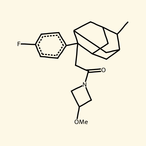 COC1CN(C(=O)CC2(c3ccc(F)cc3)C3CC4CC2CC(C3)C4C)C1